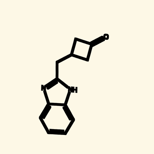 O=C1CC(Cc2nc3ccccc3[nH]2)C1